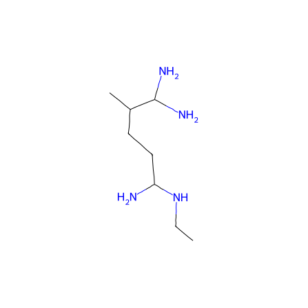 CCNC(N)CCC(C)C(N)N